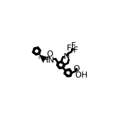 O=C(O)c1cccc(-c2ccc(CNC(=O)[C@@H]3C[C@H]3c3ccccc3)c3c2CCN(CCC(F)(F)F)C3)c1